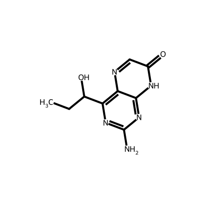 CCC(O)c1nc(N)nc2[nH]c(=O)cnc12